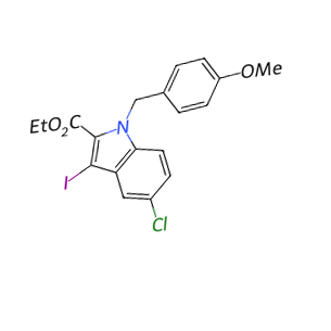 CCOC(=O)c1c(I)c2cc(Cl)ccc2n1Cc1ccc(OC)cc1